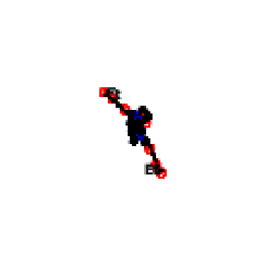 CCC1(COCCCCCOCc2ccc(N(c3ccccc3)c3ccc4c(c3)C3(c5ccccc5-c5ccccc53)c3cc(N(c5ccccc5)c5ccc(COCCCCCOCC6(CC)COC6)cc5)c5c(oc6ccccc65)c3-4)cc2)COC1